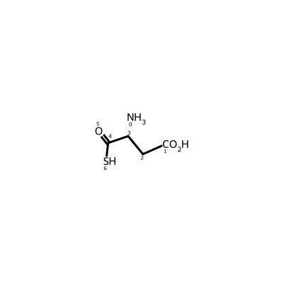 N.O=C(O)CCC(=O)S